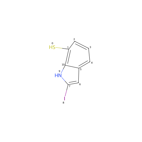 Sc1cccc2cc(I)[nH]c12